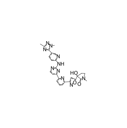 Cc1nc(-c2ccc(Nc3nccc(-c4cccc(-c5cc([C@]6(O)CCN(C)C6=O)on5)n4)n3)nc2)n(C)n1